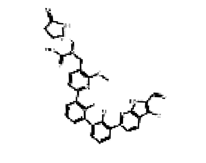 COc1nc(-c2cccc(-c3cccc(-c4ccc5c(Cl)c(C=O)[nH]c5n4)c3Cl)c2Cl)ccc1CN(C[C@@H]1CCC(=O)N1)C(=O)O